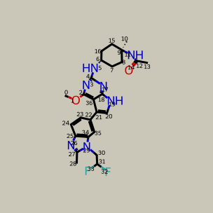 COc1nc(N[C@H]2CC[C@](C)(NC(C)=O)CC2)nc2[nH]cc(-c3ccc4nc(C)n(CC(F)F)c4c3)c12